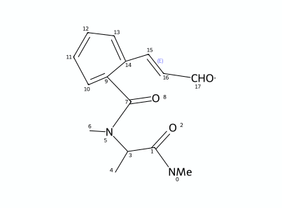 CNC(=O)C(C)N(C)C(=O)c1ccccc1/C=C/[C]=O